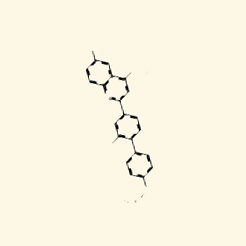 CCCCCCCCCOc1ccc(-c2ccc(-c3cc(C)c4cc(C(F)(F)F)ccc4n3)cc2F)cc1